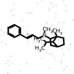 CC(C)C1C2CCC1(C)C(N(C)C/C=C/c1ccccc1)C2